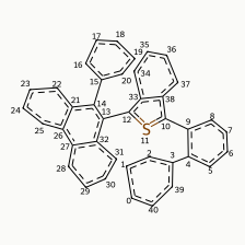 c1ccc(-c2ccccc2-c2sc(-c3c(-c4ccccc4)c4ccccc4c4ccccc34)c3ccccc23)cc1